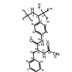 CC(C)(C)NC(c1ccc(NC(=O)[C@H](Cc2ccccc2)NC(=O)O)cc1)C(F)(F)F